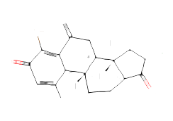 C=C1C[C@@H]2[C@H](CC[C@]3(C)C(=O)[C@@H](F)C[C@@H]23)[C@@]2(C)C(C)=CC(=O)C(S)=C12